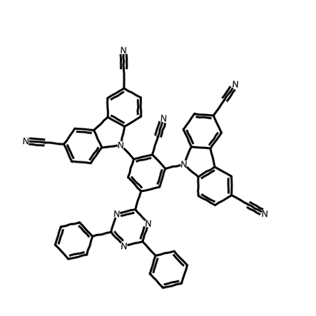 N#Cc1ccc2c(c1)c1cc(C#N)ccc1n2-c1cc(-c2nc(-c3ccccc3)nc(-c3ccccc3)n2)cc(-n2c3ccc(C#N)cc3c3cc(C#N)ccc32)c1C#N